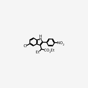 CCOC(=O)C(CC)c1c(-c2ccc([N+](=O)[O-])cc2)[nH]c2ccc(Cl)cc12